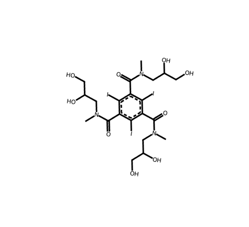 CN(CC(O)CO)C(=O)c1c(I)c(C(=O)N(C)CC(O)CO)c(I)c(C(=O)N(C)CC(O)CO)c1I